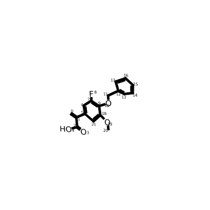 C=C(C(=O)O)c1cc(F)c(OCc2ccccc2)c(OC)c1